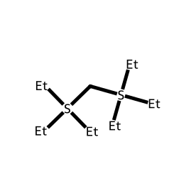 CCS(CC)(CC)CS(CC)(CC)CC